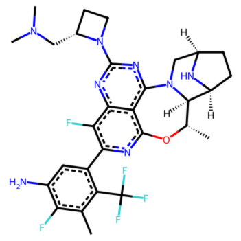 Cc1c(F)c(N)cc(-c2nc3c4c(nc(N5CC[C@H]5CN(C)C)nc4c2F)N2C[C@H]4CC[C@H](N4)[C@H]2[C@H](C)O3)c1C(F)(F)F